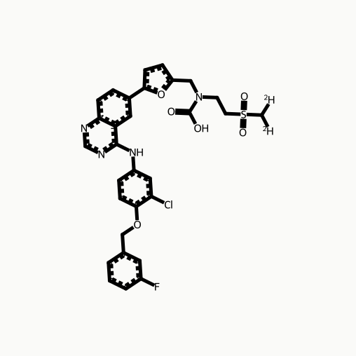 [2H]C([2H])S(=O)(=O)CCN(Cc1ccc(-c2ccc3ncnc(Nc4ccc(OCc5cccc(F)c5)c(Cl)c4)c3c2)o1)C(=O)O